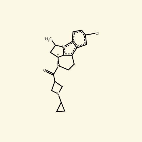 CC1C[C@H]2c3c(c4cc(Cl)ccc4n31)CCN2C(=O)C1CN(C2CC2)C1